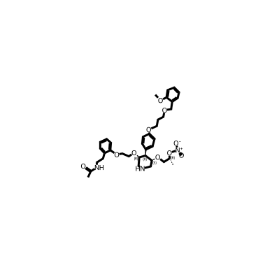 COc1ccccc1COCCCOc1ccc([C@@H]2[C@@H](OCCOc3ccccc3CCNC(C)=O)CNC[C@H]2OC[C@@H](C)O[N+](=O)[O-])cc1